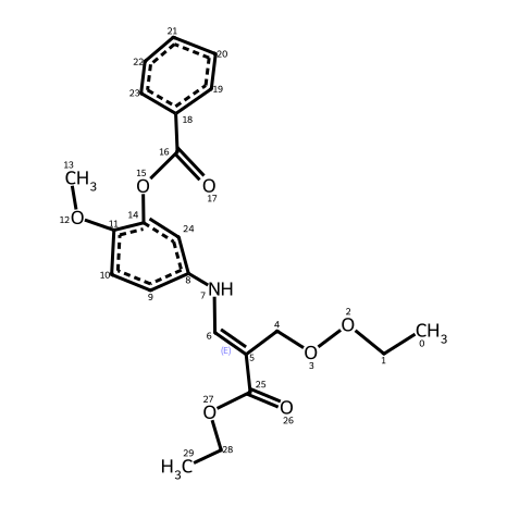 CCOOC/C(=C\Nc1ccc(OC)c(OC(=O)c2ccccc2)c1)C(=O)OCC